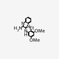 CCc1c(Nc2nc3ccccc3nc2N)cc(OC)cc1OC